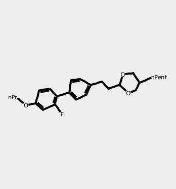 CCCCCC1COC(CCc2ccc(-c3ccc(OCCC)cc3F)cc2)OC1